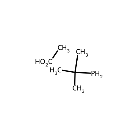 CC(=O)O.CC(C)(C)P